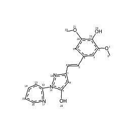 COc1cc(C=Cc2cc(O)n(-c3ccccn3)n2)cc(OC)c1O